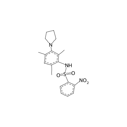 Cc1cc(C)c(N2CCCC2)c(C)c1NS(=O)(=O)c1ccccc1[N+](=O)[O-]